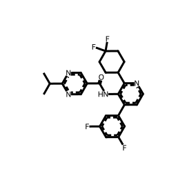 CC(C)c1ncc(C(=O)Nc2c(-c3cc(F)cc(F)c3)ccnc2C2CCC(F)(F)CC2)cn1